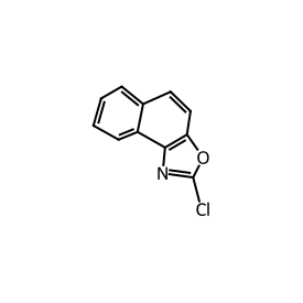 Clc1nc2c(ccc3ccccc32)o1